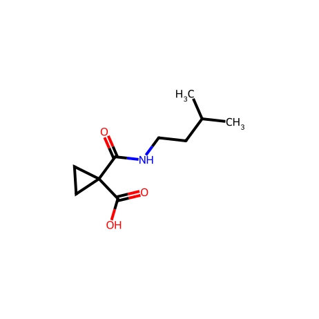 CC(C)CCNC(=O)C1(C(=O)O)CC1